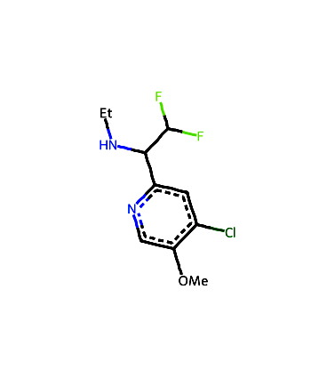 CCNC(c1cc(Cl)c(OC)cn1)C(F)F